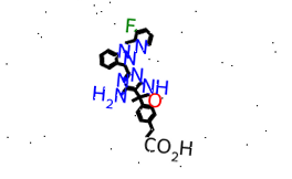 CC1(c2ccc(CCC(=O)O)cc2)C(=O)Nc2nc(-c3nn(Cc4ncccc4F)c4ccccc34)nc(N)c21